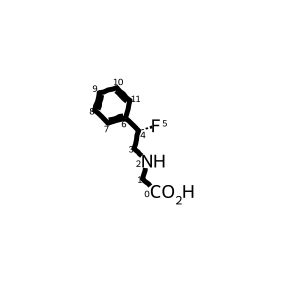 O=C(O)CNC[C@@H](F)c1ccccc1